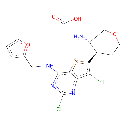 N[C@@H]1COCC[C@H]1c1sc2c(NCc3ccco3)nc(Cl)nc2c1Cl.O=CO